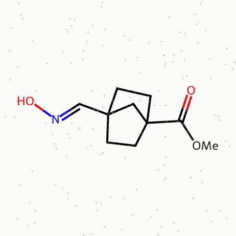 COC(=O)C12CCC(C=NO)(CC1)C2